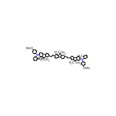 COc1ccc(N(c2ccc3c(c2)C(C)(C)c2cc(/C=C/c4ccc5c(c4)C(C)(C)c4cc(/C=C/c6ccc7c(c6)C(C)(C)c6cc(N(c8ccc(OC)cc8)c8ccccc8C)ccc6-7)ccc4-5)ccc2-3)c2ccccc2C)cc1